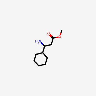 COC(=O)CC(N)C1CCCCC1